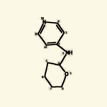 c1cc(NC2CCCCO2)ccn1